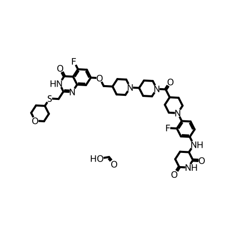 O=C1CCC(Nc2ccc(N3CCC(C(=O)N4CCC(N5CCC(COc6cc(F)c7c(=O)[nH]c(CSC8CCOCC8)nc7c6)CC5)CC4)CC3)c(F)c2)C(=O)N1.O=CO